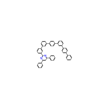 c1ccc(-c2ccc(-c3cccc(-c4ccc(-c5cccc(-c6cccc(-c7nc(-c8ccccc8)cc(-c8ccccc8)n7)c6)c5)cc4)c3)cc2)cc1